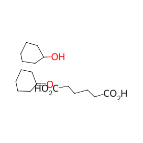 O=C(O)CCCCC(=O)O.O=C1CCCCC1.OC1CCCCC1